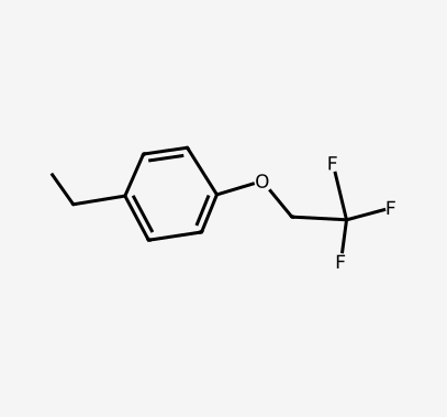 CCc1ccc(OCC(F)(F)F)cc1